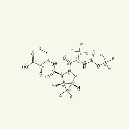 CCC(NC(=O)[C@@H]1[C@@H]2[C@H](CN1C(=O)[C@@H](NC(=O)OC(C)(C)C)C(C)(C)C)C2(C)C)C(=O)C(=O)O